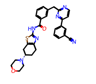 N#Cc1cccc(-c2ccnc(Cc3cccc(C(=O)Nc4nc5c(s4)C[C@@H](N4CCOCC4)CC5)c3)n2)c1